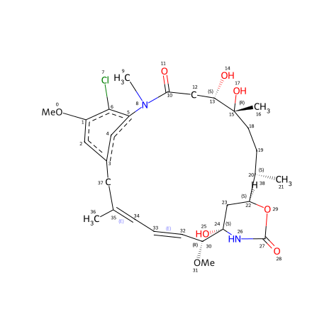 COc1cc2cc(c1Cl)N(C)C(=O)C[C@H](O)[C@](C)(O)CC[C@H](C)[C@@H]1C[C@@](O)(NC(=O)O1)[C@H](OC)/C=C/C=C(\C)C2